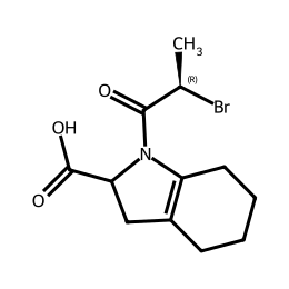 C[C@@H](Br)C(=O)N1C2=C(CCCC2)CC1C(=O)O